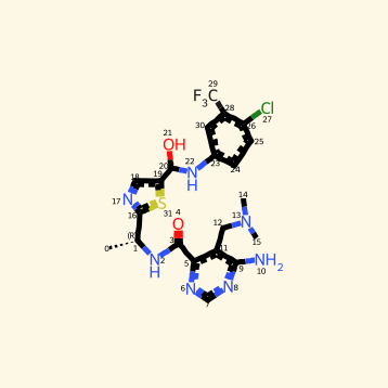 C[C@@H](NC(=O)c1ncnc(N)c1CN(C)C)c1ncc(C(O)Nc2ccc(Cl)c(C(F)(F)F)c2)s1